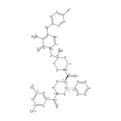 Nc1c(Oc2ccc(F)cc2)ncn(CC2(O)CCN(C(=O)[C@@H]3CCN(C(=O)c4cc(Cl)cc(Cl)c4)C[C@H]3c3ccccc3)CC2)c1=O